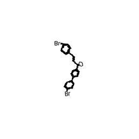 O=C(/C=C/c1ccc(Br)cc1)c1ccc(-c2ccc(Br)cc2)cc1